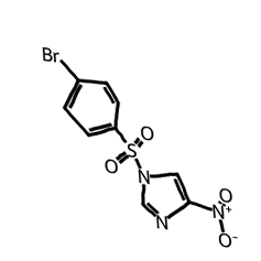 O=[N+]([O-])c1cn(S(=O)(=O)c2ccc(Br)cc2)cn1